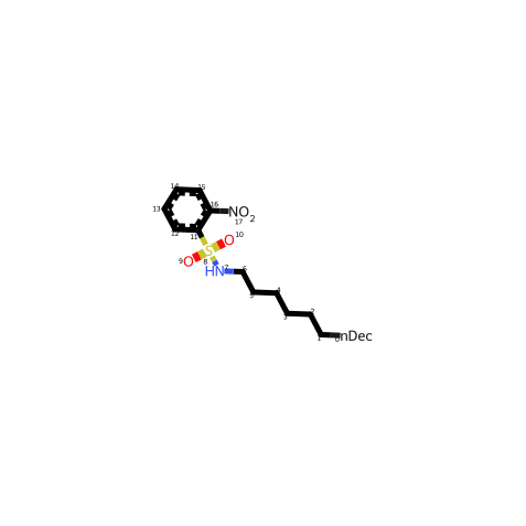 CCCCCCCCCCCCCCCCNS(=O)(=O)c1ccccc1[N+](=O)[O-]